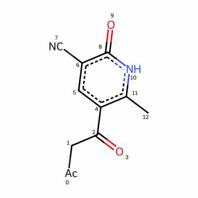 CC(=O)CC(=O)c1cc(C#N)c(=O)[nH]c1C